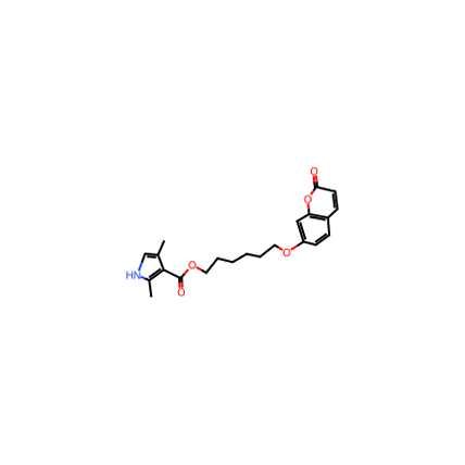 Cc1c[nH]c(C)c1C(=O)OCCCCCCOc1ccc2ccc(=O)oc2c1